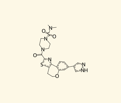 CN(C)S(=O)(=O)N1CCN(C(=O)c2nc3c(s2)CCOc2cc(-c4cn[nH]c4)ccc2-3)CC1